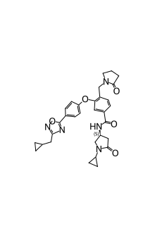 O=C(N[C@H]1CC(=O)N(C2CC2)C1)c1ccc(CN2CCCC2=O)c(Oc2ccc(-c3nc(CC4CC4)no3)cc2)c1